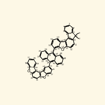 CC1(C)c2ccccc2-c2c1ccc1oc3c(-c4c5ccccc5c(-c5ccc6oc7ccc8oc9ccccc9c8c7c6c5)c5ccccc45)cccc3c21